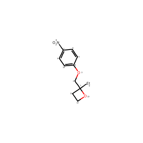 CCC1(COc2ccc([N+](=O)[O-])cc2)CCO1